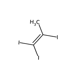 CC(I)=C(I)I